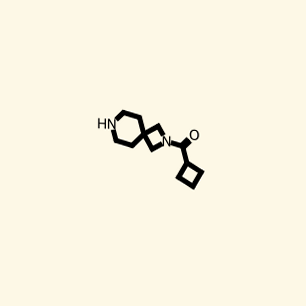 O=C(C1CCC1)N1CC2(CCNCC2)C1